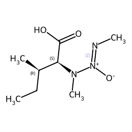 CC[C@@H](C)[C@@H](C(=O)O)N(C)/[N+]([O-])=N/C